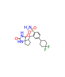 NS(=O)(=O)c1ccc(C2CCC(F)(F)CC2)cc1CC1CCCC12NC(=O)NC2=O